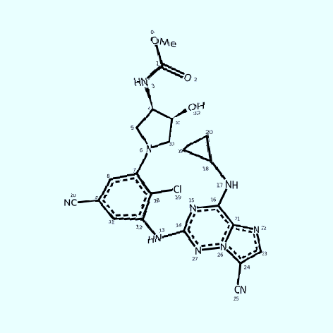 COC(=O)N[C@@H]1CN(c2cc(C#N)cc(Nc3nc(NC4CC4)c4ncc(C#N)n4n3)c2Cl)C[C@@H]1O